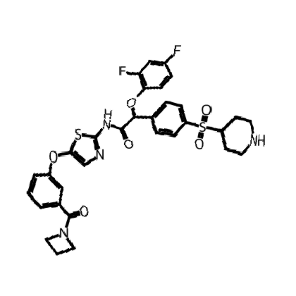 O=C(Nc1ncc(Oc2cccc(C(=O)N3CCC3)c2)s1)C(Oc1ccc(F)cc1F)c1ccc(S(=O)(=O)C2CCNCC2)cc1